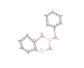 BOB(Oc1ccccc1)Oc1ccccc1